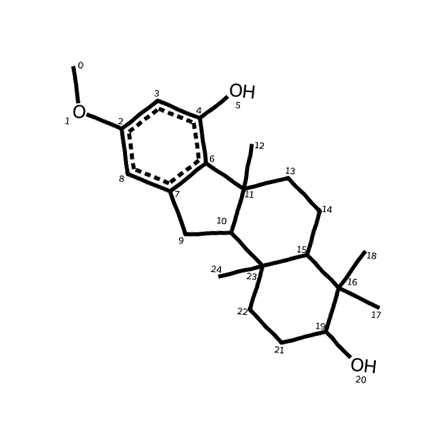 COc1cc(O)c2c(c1)CC1C2(C)CCC2C(C)(C)C(O)CCC12C